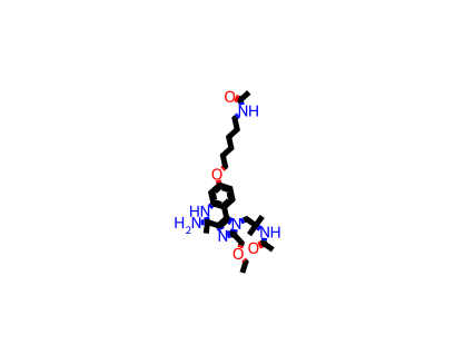 CCOCc1nc2c(n1CC(C)(C)NC(C)=O)-c1ccc(OCCCCCCNC(C)=O)cc1NC2(C)N